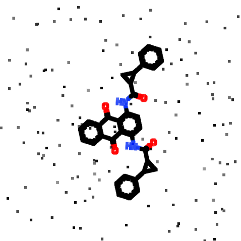 O=C1c2ccccc2C(=O)c2c(NC(=O)C3CC3c3ccccc3)ccc(NC(=O)C3CC3c3ccccc3)c21